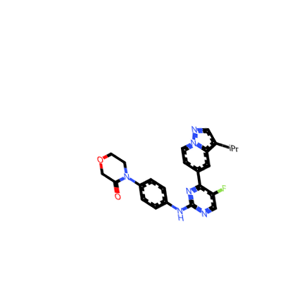 CC(C)c1cnn2ccc(-c3nc(Nc4ccc(N5CCOCC5=O)cc4)ncc3F)cc12